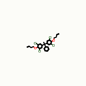 C=CCCOc1c(Cl)cc(C(C)(c2ccccc2)c2cc(Cl)c(OCCC=C)c(Cl)c2)cc1Cl